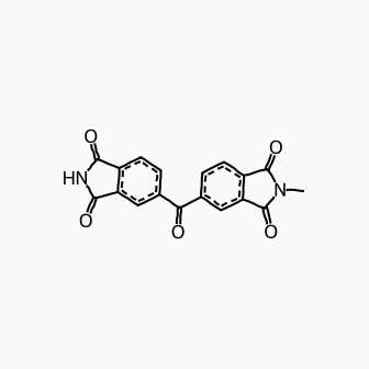 CN1C(=O)c2ccc(C(=O)c3ccc4c(c3)C(=O)NC4=O)cc2C1=O